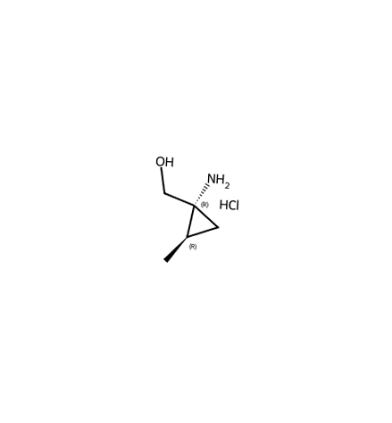 C[C@@H]1C[C@]1(N)CO.Cl